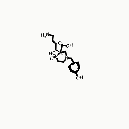 NCCCC[C@@]1(C(=O)O)CN(Cc2ccc(O)cc2)CCP1(=O)O